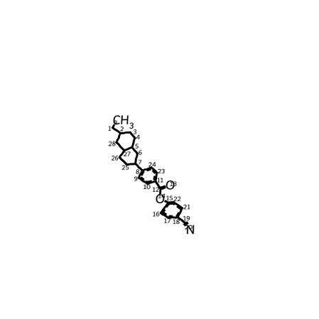 CCC1CCC2CC(c3ccc(C(=O)Oc4ccc(C#N)cc4)cc3)CCC2C1